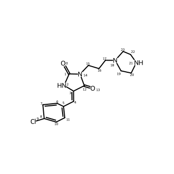 O=C1N/C(=C\c2ccc(Cl)cc2)C(=O)N1CCCN1CCNCC1